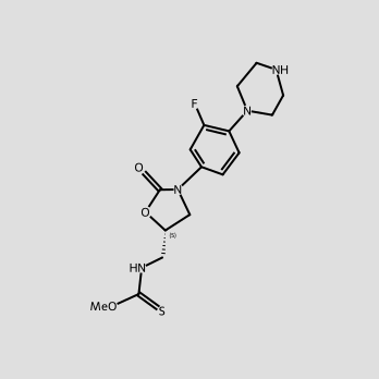 COC(=S)NC[C@H]1CN(c2ccc(N3CCNCC3)c(F)c2)C(=O)O1